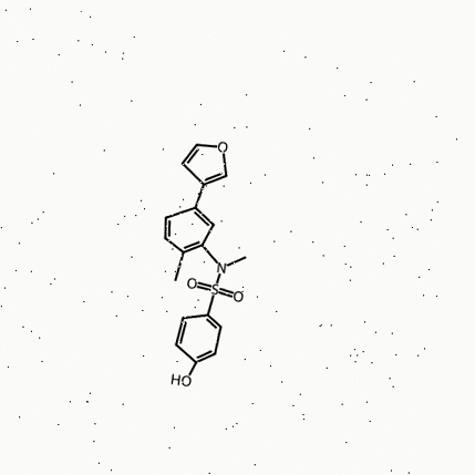 Cc1ccc(-c2ccoc2)cc1N(C)S(=O)(=O)c1ccc(O)cc1